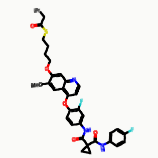 COc1cc2c(Oc3ccc(NC(=O)C4(C(=O)Nc5ccc(F)cc5)CC4)cc3F)ccnc2cc1OCCCCSC(=O)CC(C)C